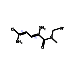 CC(C)CN(C)C(=O)/C(N)=C/C=C(\N)Cl